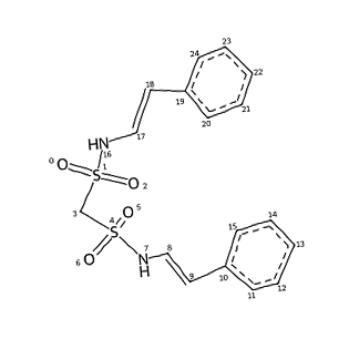 O=S(=O)(CS(=O)(=O)N/C=C/c1ccccc1)N/C=C/c1ccccc1